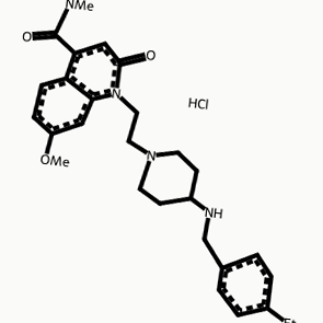 CCc1ccc(CNC2CCN(CCn3c(=O)cc(C(=O)NC)c4ccc(OC)cc43)CC2)cc1.Cl